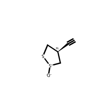 C#C[C@@H]1CS[S+]([O-])C1